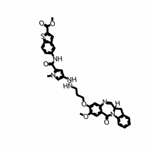 COC(=O)c1cc2cc(NC(=O)c3cc(NNCCCOc4cc5c(cc4OC)C(=O)N4c6ccccc6C[C@H]4C=N5)cn3C)ccc2s1